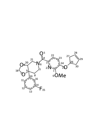 COc1nc(C(=O)N2CCC3(c4cccc(F)c4)OCOC3C2)ccc1OC1CC=CC1